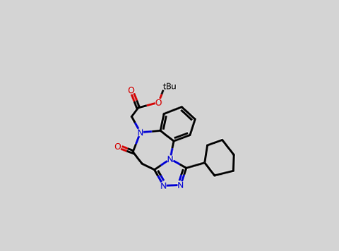 CC(C)(C)OC(=O)CN1C(=O)Cc2nnc(C3CCCCC3)n2-c2ccccc21